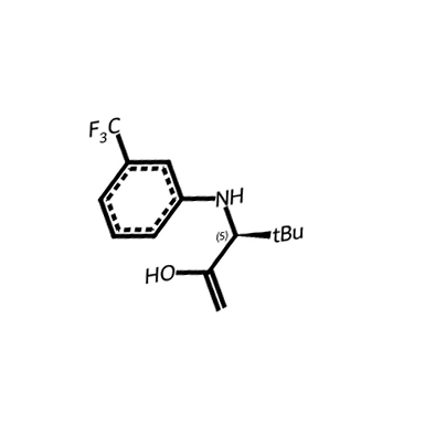 C=C(O)[C@@H](Nc1cccc(C(F)(F)F)c1)C(C)(C)C